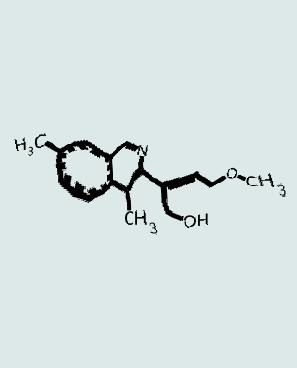 COC/C=C(\CO)C1N=Cc2cc(C)ccc2C1C